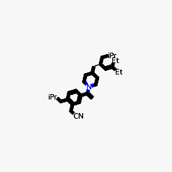 C=C(c1ccc(CC(C)C)c(CC#N)c1)N1CCC(C[C@@H](C=C(CC)CC)CC(C)C)CC1